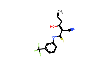 C=CCC(O)=C(C#N)C(=S)Nc1cccc(C(F)(F)F)c1